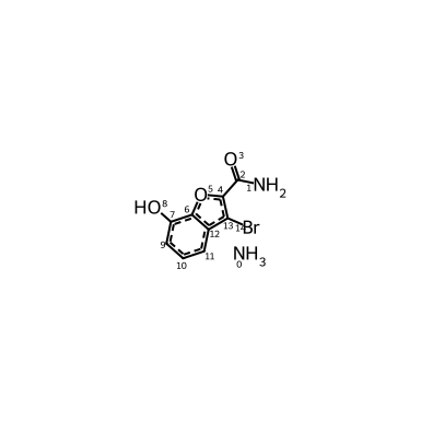 N.NC(=O)c1oc2c(O)cccc2c1Br